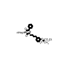 CCCCCCCn1c(=O)c(-c2ccccc2)nn(CCCCc2cccc(OC(C)(C)C(=O)OCC)c2)c1=O